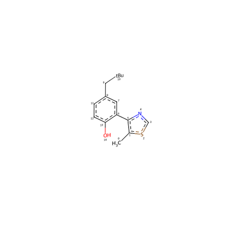 Cc1scnc1-c1cc(CC(C)(C)C)ccc1O